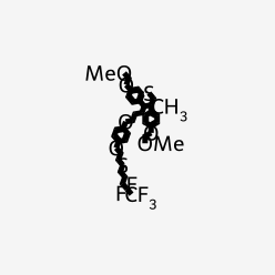 COCOc1ccc(C2(C)CSc3cc(OCOC)ccc3C2CCCOc2ccc(OCCSCCCC(F)(F)C(F)(F)F)cc2)cc1